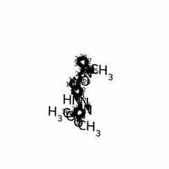 COc1cc2ncnc(Nc3ccc4c(c3)CCN4C(=O)Cc3nn(C)c4ccccc34)c2cc1OC